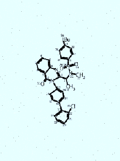 CC(c1nc2ccccc2c(=O)n1-c1ccc(-c2ccccc2Cl)cc1)N(C)S(=O)(=O)c1ccc(C(C)(C)C)cc1